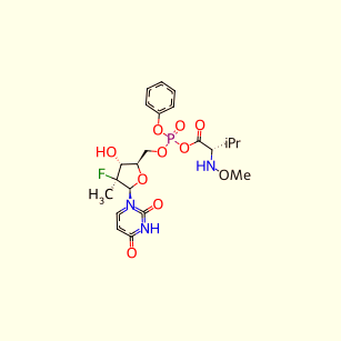 CON[C@H](C(=O)OP(=O)(OC[C@H]1O[C@@H](n2ccc(=O)[nH]c2=O)[C@@](C)(F)[C@@H]1O)Oc1ccccc1)C(C)C